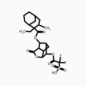 CCC1(C(=O)OC2C3CC4C(OC(=O)C42)C3OC(=O)C(F)(F)S(=O)(=O)O)C(C)CC2CCCC1C2